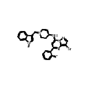 Cn1cc(CN2CCC(Nc3cc(-c4ccccc4Cl)nc4c(Br)cnn34)CC2)c2ccccc21